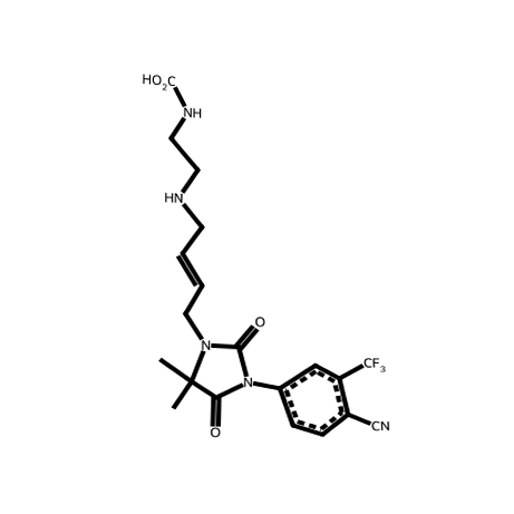 CC1(C)C(=O)N(c2ccc(C#N)c(C(F)(F)F)c2)C(=O)N1CC=CCNCCNC(=O)O